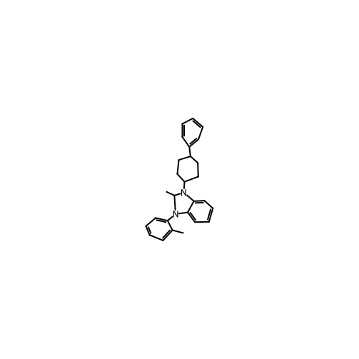 Cc1ccccc1N1c2ccccc2N(C2CCC(c3ccccc3)CC2)C1C